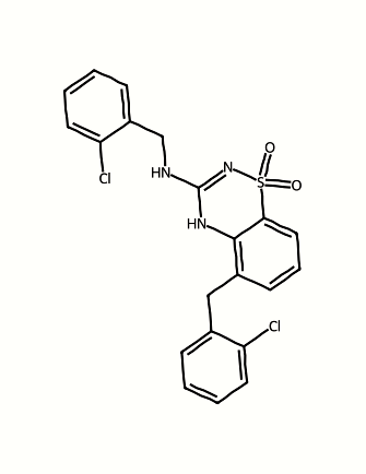 O=S1(=O)N=C(NCc2ccccc2Cl)Nc2c(Cc3ccccc3Cl)cccc21